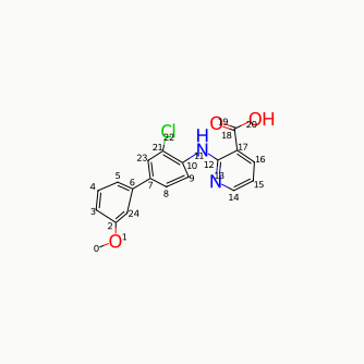 COc1cccc(-c2ccc(Nc3ncccc3C(=O)O)c(Cl)c2)c1